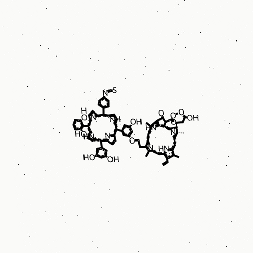 C=Cc1c(C)c2cc3nc(c4c5[nH]c(cc6nc(cc1[nH]2)C(C)=C6CCOc1cc(O)cc(-c2c6nc(c(-c7cc(O)cc(O)c7)c7ccc([nH]7)c(-c7c(O)cccc7O)c7nc(c(-c8ccc(N=C=S)cc8)c8ccc2[nH]8)C=C7)C=C6)c1)c(C)c5C(=O)C4C(=O)OC)[C@@H](CCC(=O)O)[C@@H]3C